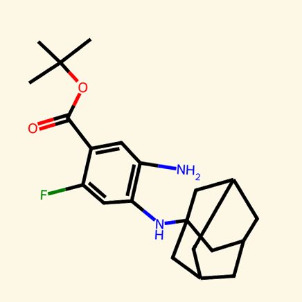 CC(C)(C)OC(=O)c1cc(N)c(NC23CC4CC(CC(C4)C2)C3)cc1F